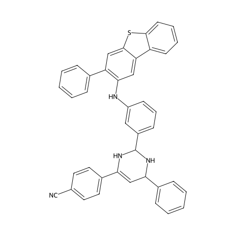 N#Cc1ccc(C2=CC(c3ccccc3)NC(c3cccc(Nc4cc5c(cc4-c4ccccc4)sc4ccccc45)c3)N2)cc1